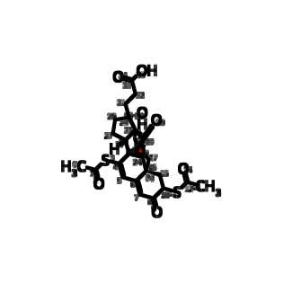 CC(=O)SC1=CC2=CC(=O)C(SC(C)=O)C[C@@]23COC(=O)[C@]24CCC3[C@@H]1[C@@H]2CC[C@@]4(O)CCC(=O)O